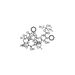 CC(=O)OC12CO[C@@H]1C[C@H](O)[C@@]1(C)C(=O)[C@H](O)C3=C(C)[C@@H](OC(=O)[C@H](O)[C@@H](NC(=O)OC(C)(C)C)c4ccccc4)C[C@@](O)([C@@H](OC(=O)c4ccccc4)[C@H]21)C3(C)C